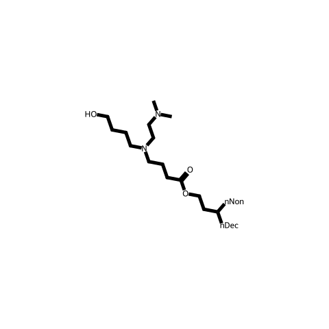 CCCCCCCCCCC(CCCCCCCCC)CCOC(=O)CCCN(CCCCO)CCN(C)C